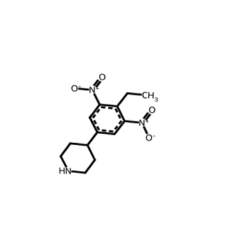 CCc1c([N+](=O)[O-])cc(C2CCNCC2)cc1[N+](=O)[O-]